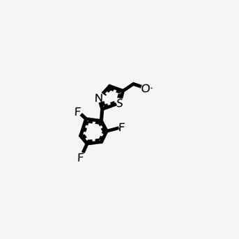 [O]Cc1cnc(-c2c(F)cc(F)cc2F)s1